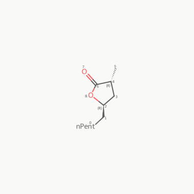 CCCCCC[C@@H]1C[C@@H](C)C(=O)O1